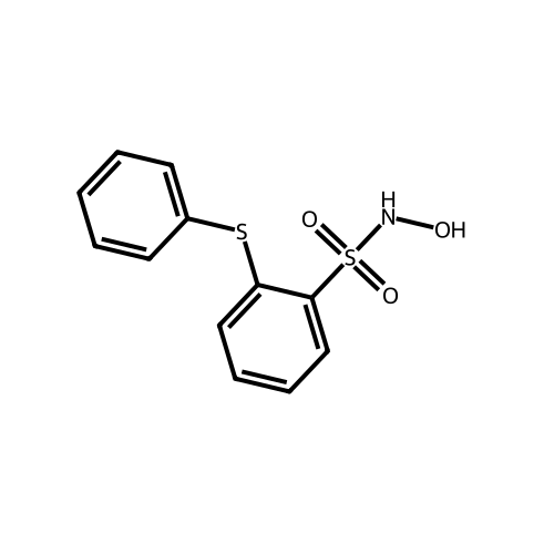 O=S(=O)(NO)c1ccccc1Sc1ccccc1